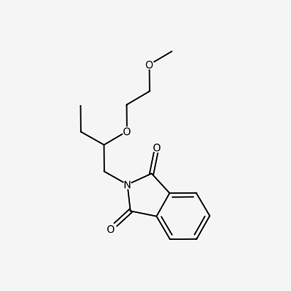 CCC(CN1C(=O)c2ccccc2C1=O)OCCOC